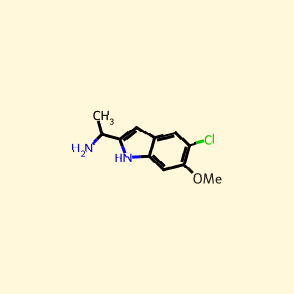 COc1cc2[nH]c(C(C)N)cc2cc1Cl